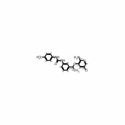 Cc1ccc(NC(=O)Nc2cccc(C(C)Oc3cc(Cl)cnc3N)c2)cc1